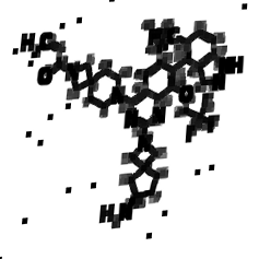 C=CC(=O)N1CC2(CCN(c3nc(N4CC5(CC[C@@H](N)C5)C4)nc4c(OCC(F)(F)F)c(-c5c(C)ccc6[nH]ncc56)c(C5CC5)cc34)CC2)C1